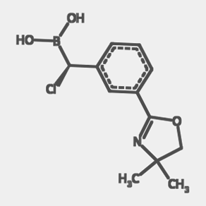 CC1(C)COC(c2cccc([C@@H](Cl)B(O)O)c2)=N1